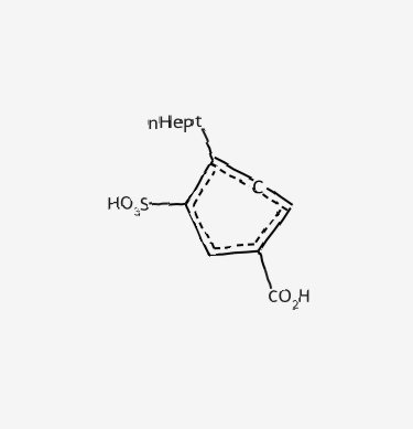 CCCCCCCc1ccc(C(=O)O)cc1S(=O)(=O)O